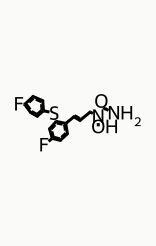 NC(=O)N(O)CC=Cc1ccc(F)cc1Sc1ccc(F)cc1